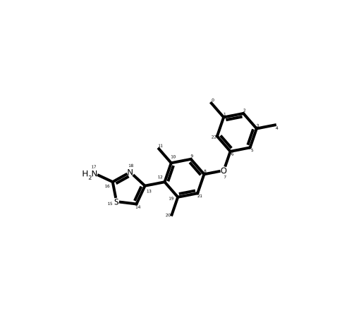 Cc1cc(C)cc(Oc2cc(C)c(-c3csc(N)n3)c(C)c2)c1